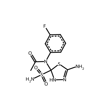 CC(=O)N(c1cccc(F)c1)C1(S(N)(=O)=O)NN=C(N)S1